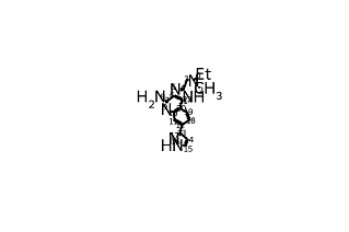 CCN(C)Cc1nc2c(N)nc3cc(-c4cc[nH]n4)ccc3c2[nH]1